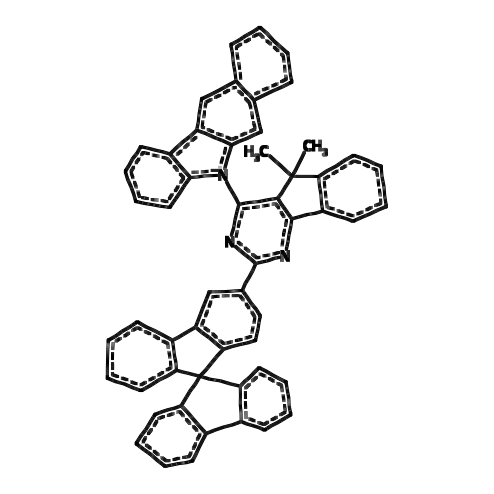 CC1(C)c2ccccc2-c2nc(-c3ccc4c(c3)-c3ccccc3C43c4ccccc4-c4ccccc43)nc(-n3c4ccccc4c4cc5ccccc5cc43)c21